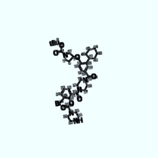 CC(C)(C)OC(=O)N1CC[C@H](Oc2ccc(C(=O)N3CCN(C(=O)c4cccc(Br)c4OC(=O)N4CCNCC4)CC3)cc2C2CCCCC2)C1